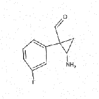 NC1CC1(C=O)c1cccc(F)c1